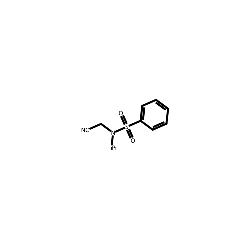 CC(C)N(CC#N)S(=O)(=O)c1ccccc1